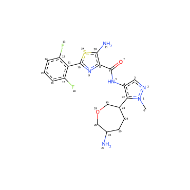 Cn1ncc(NC(=O)c2nc(-c3c(F)cccc3F)sc2N)c1C1CCC(N)COC1